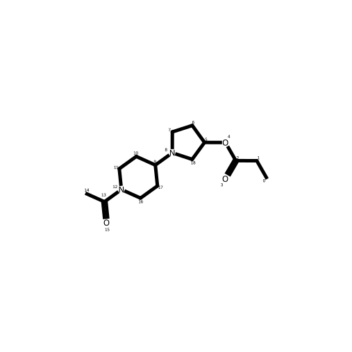 CCC(=O)OC1CCN(C2CCN(C(C)=O)CC2)C1